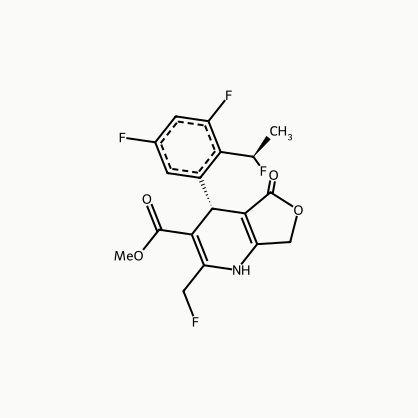 COC(=O)C1=C(CF)NC2=C(C(=O)OC2)[C@H]1c1cc(F)cc(F)c1[C@@H](C)F